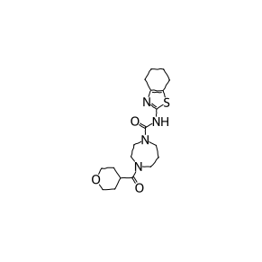 O=C(Nc1nc2c(s1)CCCC2)N1CCCN(C(=O)C2CCOCC2)CC1